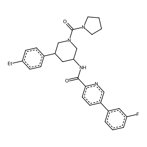 CCc1ccc(C2CC(NC(=O)c3ccc(-c4cccc(F)c4)cn3)CN(C(=O)N3CCCC3)C2)cc1